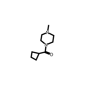 CN1CCN(C(=O)C2CCC2)CC1